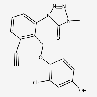 C#Cc1cccc(-n2nnn(C)c2=O)c1COc1ccc(O)cc1Cl